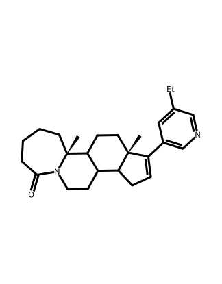 CCc1cncc(C2=CCC3C4CCN5C(=O)CCCC[C@]5(C)C4CC[C@]23C)c1